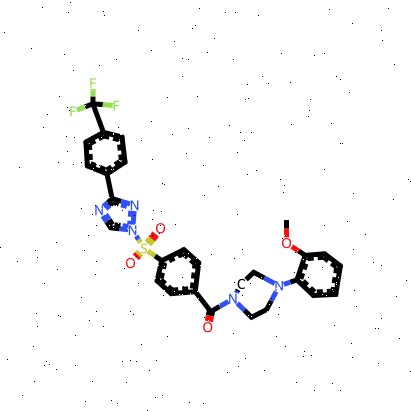 COc1ccccc1N1CCN(C(=O)c2ccc(S(=O)(=O)n3cnc(-c4ccc(C(F)(F)F)cc4)n3)cc2)CC1